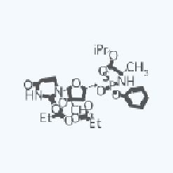 CCC(=O)O[C@@H]1[C@@H](COP(=S)(N[C@@H](C)C(=O)OC(C)C)Oc2ccccc2)O[C@@H](n2ccc(=O)[nH]c2=O)[C@]1(C)OC(=O)CC